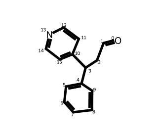 O=CCC(c1ccccc1)c1ccncc1